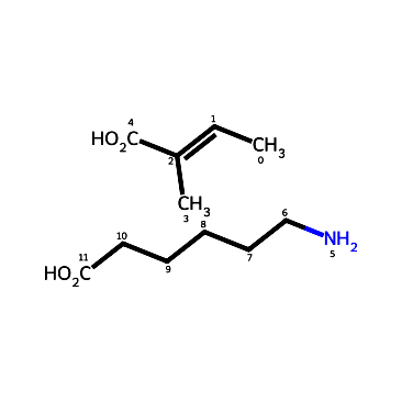 CC=C(C)C(=O)O.NCCCCCC(=O)O